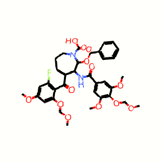 COCOc1cc(OC)cc(F)c1C(=O)C1CCCN(C(=O)O)C(OC(=O)c2ccccc2)C1NC(=O)c1cc(OC)c(OCOC)c(OC)c1